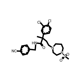 CC(CCN1CCCN(S(C)(=O)=O)CC1)(C(=O)NCc1ccc(C#N)cc1)c1ccc(Cl)c(Cl)c1